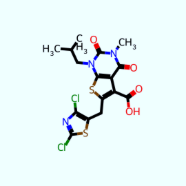 CC(C)Cn1c(=O)n(C)c(=O)c2c(C(=O)O)c(Cc3sc(Cl)nc3Cl)sc21